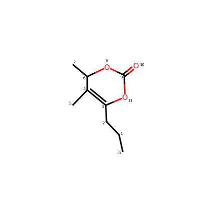 CCCC1=C(C)C(C)OC(=O)O1